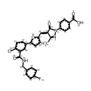 CC1=NN(c2ccc(C(=O)O)cc2)C(=O)/C1=C/c1ccc(-c2ccc(Cl)c(C(=O)NCc3ccc(F)cc3)c2)o1